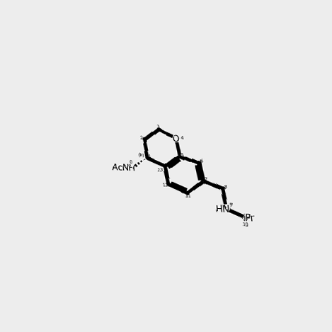 CC(=O)N[C@@H]1CCOc2cc(CNC(C)C)ccc21